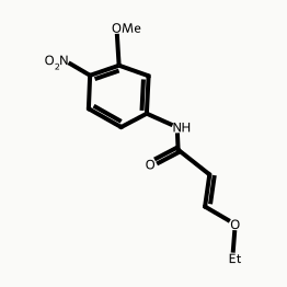 CCOC=CC(=O)Nc1ccc([N+](=O)[O-])c(OC)c1